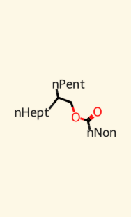 CCCCCCCCCC(=O)OCC(CCCCC)CCCCCCC